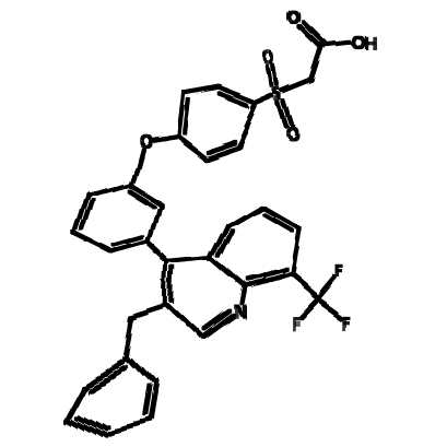 O=C(O)CS(=O)(=O)c1ccc(Oc2cccc(-c3c(Cc4ccccc4)cnc4c(C(F)(F)F)cccc34)c2)cc1